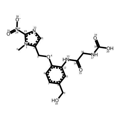 Cn1c(COc2ccc(CO)cc2NC(=O)CNC(=O)O)cnc1[N+](=O)[O-]